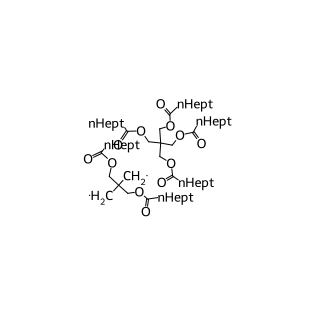 CCCCCCCC(=O)OCC(COC(=O)CCCCCCC)(COC(=O)CCCCCCC)COC(=O)CCCCCCC.[CH2]C([CH2])(COC(=O)CCCCCCC)COC(=O)CCCCCCC